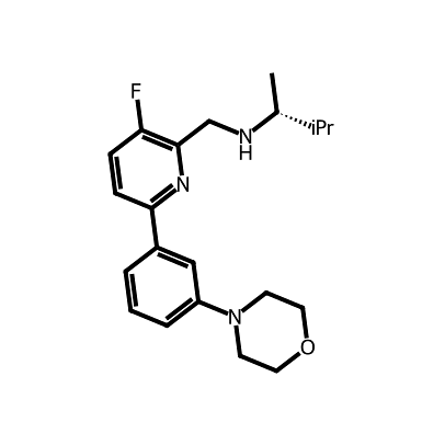 CC(C)[C@@H](C)NCc1nc(-c2cccc(N3CCOCC3)c2)ccc1F